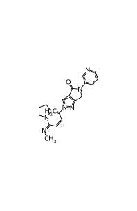 C=C(/C=C\C(=N/C)N1CCCC1)n1cc2c(n1)CN(c1cccnc1)C2=O